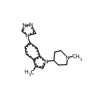 Cc1cn(C2CCN(C)CC2)c2cc(-n3cnnc3)ccc12